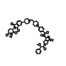 COC(C(=O)N1Cc2[nH]nc(NC(=O)c3ccc(N4CCC(CN5CCC(c6ccc7c(c6)C(=O)N(C6CCC(=O)NC6=O)C7=O)CC5)CC4)cc3)c2C1)c1ccccc1